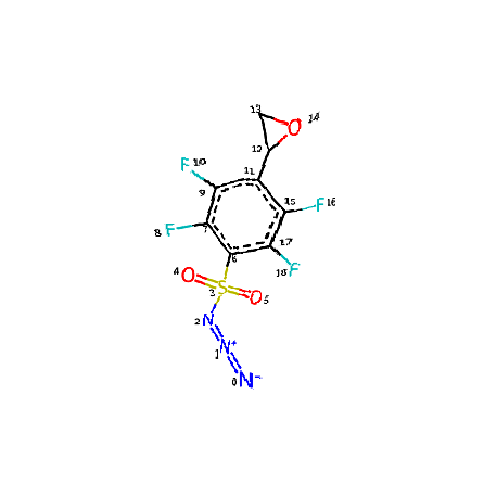 [N-]=[N+]=NS(=O)(=O)c1c(F)c(F)c(C2CO2)c(F)c1F